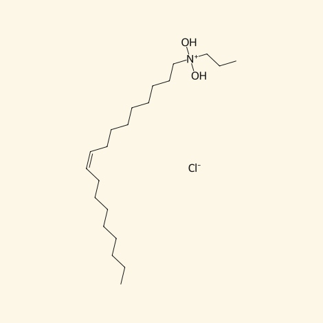 CCCCCCCC/C=C\CCCCCCCC[N+](O)(O)CCC.[Cl-]